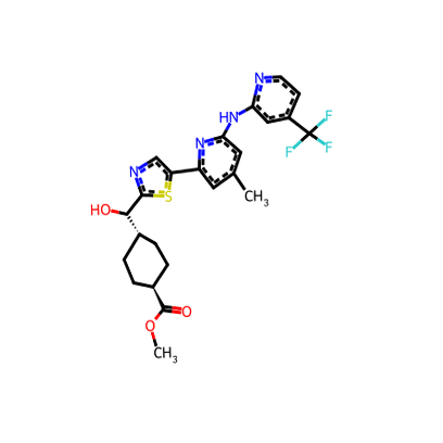 COC(=O)[C@H]1CC[C@H](C(O)c2ncc(-c3cc(C)cc(Nc4cc(C(F)(F)F)ccn4)n3)s2)CC1